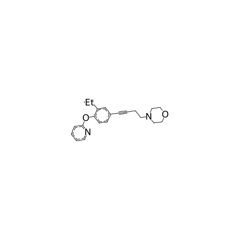 C[CH]c1cc(C#CCCN2CCOCC2)ccc1Oc1ccccn1